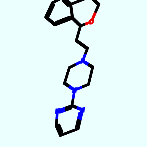 c1cnc(N2CCN(CCC3OCCc4ccccc43)CC2)nc1